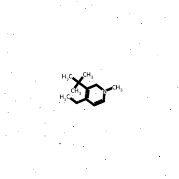 CCC1=C(C(C)(C)C)CN(C)C=C1